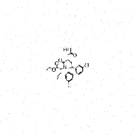 CCC[C@H](C(=O)OCC)N1C(=O)[C@H](CC(=O)O)CC(c2cccc(Cl)c2)[C@@H]1c1ccc(Cl)cc1